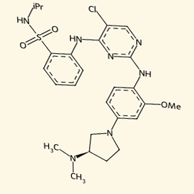 COc1cc(N2CC[C@@H](N(C)C)C2)ccc1Nc1ncc(Cl)c(Nc2ccccc2S(=O)(=O)NC(C)C)n1